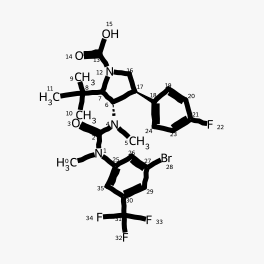 CN(C(=O)N(C)[C@@H]1C(C(C)(C)C)N(C(=O)O)C[C@H]1c1ccc(F)cc1)c1cc(Br)cc(C(F)(F)F)c1